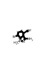 Cn1nc(N)c2c(C#N)ccc(Br)c21